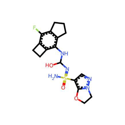 NS(=O)(=NC(O)Nc1c2c(c(F)c3c1CC3)CCC2)c1cnn2c1OCC2